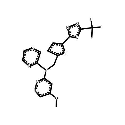 COc1cnnc(N(Cc2ccc(-c3noc(C(F)(F)F)n3)s2)c2cnccn2)c1